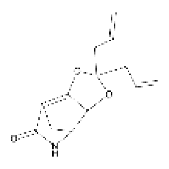 C=CCC1(CC=C)OC2=C3CC(NC3=O)C2O1